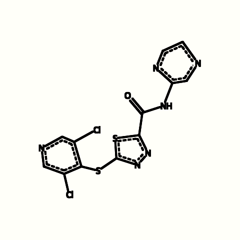 O=C(Nc1cnccn1)c1nnc(Sc2c(Cl)cncc2Cl)s1